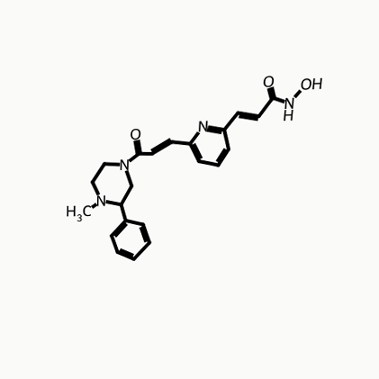 CN1CCN(C(=O)C=Cc2cccc(C=CC(=O)NO)n2)CC1c1ccccc1